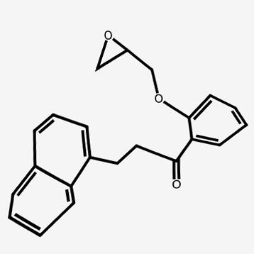 O=C(CCc1cccc2ccccc12)c1ccccc1OCC1CO1